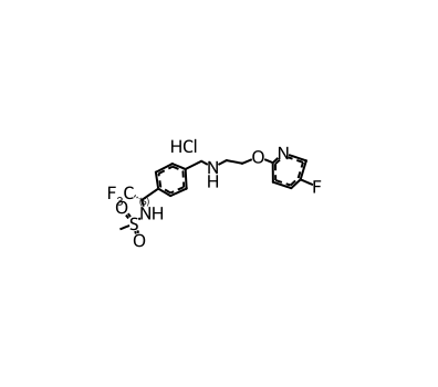 CS(=O)(=O)N[C@@H](c1ccc(CNCCOc2ccc(F)cn2)cc1)C(F)(F)F.Cl